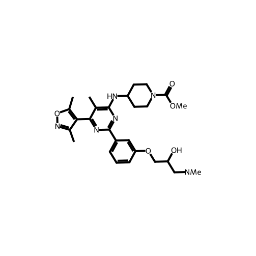 CNCC(O)COc1cccc(-c2nc(NC3CCN(C(=O)OC)CC3)c(C)c(-c3c(C)noc3C)n2)c1